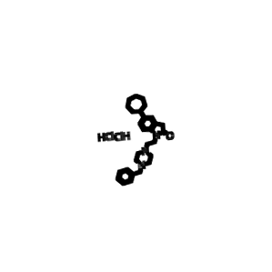 Cl.Cl.O=C1Cc2cc(C3CCCCCC3)ccc2N1CCN1CCN(Cc2ccccc2)CC1